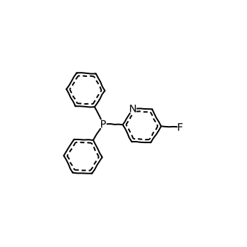 Fc1ccc(P(c2ccccc2)c2ccccc2)nc1